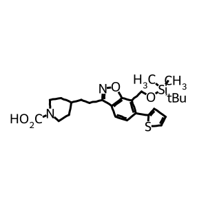 CC(C)(C)[Si](C)(C)OCc1c(-c2cccs2)ccc2c(CCC3CCN(C(=O)O)CC3)noc12